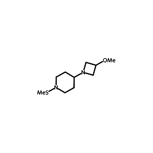 COC1CN(C2CCN(SC)CC2)C1